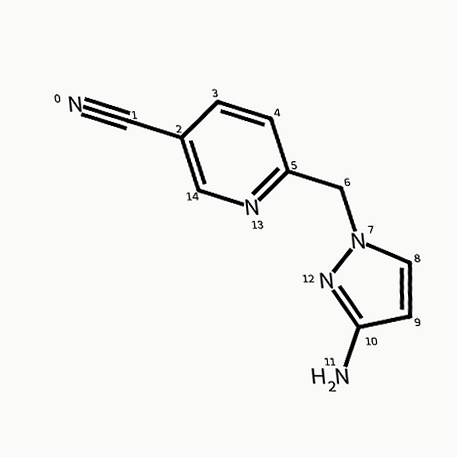 N#Cc1ccc(Cn2ccc(N)n2)nc1